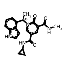 CNC(=O)c1cc(C(=O)NC2CC2)cn([C@H](C)c2cccc3[nH]ccc23)c1=O